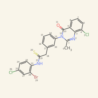 Cc1nc2c(Cl)cccc2c(=O)n1-c1cccc(CC(=S)Nc2ccc(Cl)cc2Br)c1